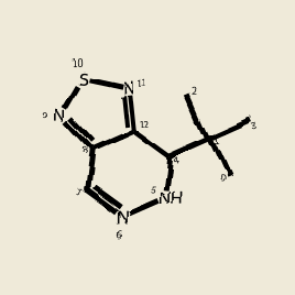 CC(C)(C)C1NN=Cc2nsnc21